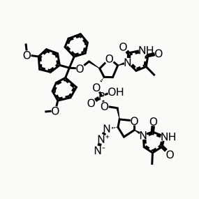 COc1ccc(C(OC[C@H]2O[C@@H](n3cc(C)c(=O)[nH]c3=O)C[C@@H]2OP(=O)(O)OC[C@H]2O[C@@H](n3cc(C)c(=O)[nH]c3=O)C[C@@H]2N=[N+]=[N-])(c2ccccc2)c2ccc(OC)cc2)cc1